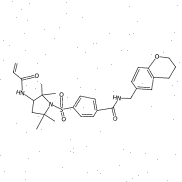 C=CC(=O)NC1CC(C)(C)N(S(=O)(=O)c2ccc(C(=O)NCc3ccc4c(c3)CCCO4)cc2)C1(C)C